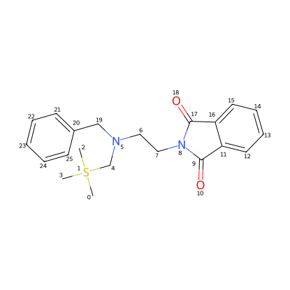 CS(C)(C)CN(CCN1C(=O)c2ccccc2C1=O)Cc1ccccc1